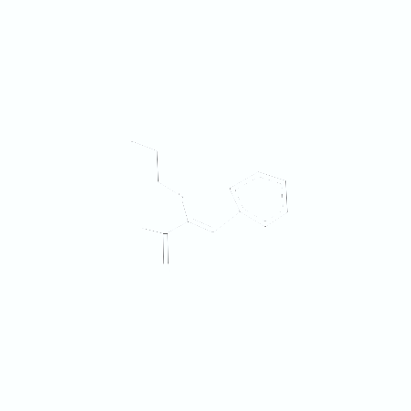 O=C(O)C(=Cc1ccccc1)NCCCl